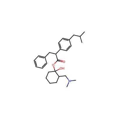 CC(C)Cc1ccc(C(Cc2ccccc2)C(=O)OC2(O)CCCCC2CN(C)C)cc1